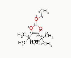 CCOC1OC(C(C)(C)C)=C(C(C)(C)C)O1